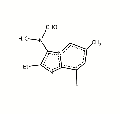 CCc1nc2c(F)cc(C)cn2c1N(C)C=O